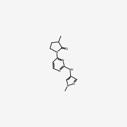 CC1CCN(c2ccnc(Nc3cnn(C)c3)n2)C1=O